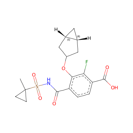 CC1(S(=O)(=O)NC(=O)c2ccc(C(=O)O)c(F)c2OC2C[C@@H]3C[C@@H]3C2)CC1